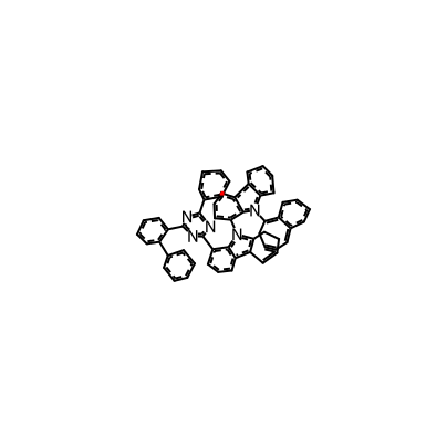 C1#CCC(n2c3ccccc3c3cccc(-n4c5c(c6cccc(-c7nc(-c8ccccc8)nc(-c8ccccc8-c8ccccc8)n7)c64)C=CCC5)c32)=c2ccccc2=C1